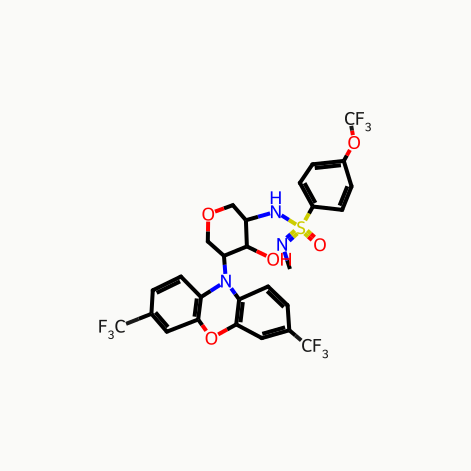 CN=S(=O)(NC1COCC(N2c3ccc(C(F)(F)F)cc3Oc3cc(C(F)(F)F)ccc32)C1O)c1ccc(OC(F)(F)F)cc1